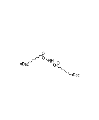 CCCCCCCCCCCCCCCCCC(=O)OCCNCCOC(=O)CCCCCCCCCCCCCCCCC